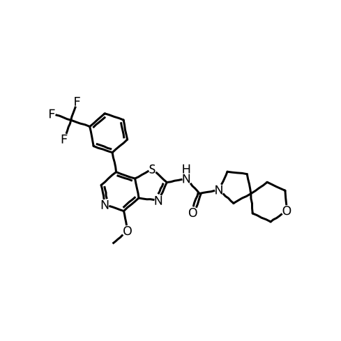 COc1ncc(-c2cccc(C(F)(F)F)c2)c2sc(NC(=O)N3CCC4(CCOCC4)C3)nc12